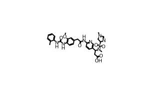 COc1cc(CC(=O)Nc2ccc(C(CC(=O)O)N(C)S(=O)(=O)C3CN(C)C=N3)cn2)ccc1NC(=O)Nc1ccccc1C